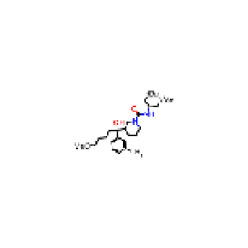 CNCC(CC(C)(C)C)NC(=O)N1CCCC([C@@](O)(CCCCOC)c2cccc(C)c2)C1